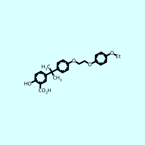 CCOc1ccc(OCCOc2ccc(C(C)(C)c3ccc(O)c(C(=O)O)c3)cc2)cc1